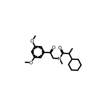 COc1cc(OC)cc(C(=O)CN(C)C(=O)C(C)C2CCCCC2)c1